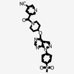 CS(=O)(=O)c1ccc(-n2ncc3c(OC4CCN(C(=O)c5cncc(C#N)c5)CC4)ncnc32)cc1